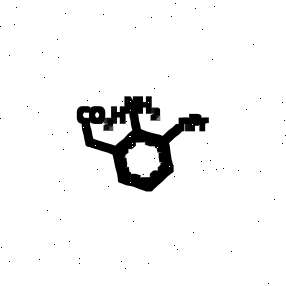 CCCc1cccc(CC(=O)O)c1N